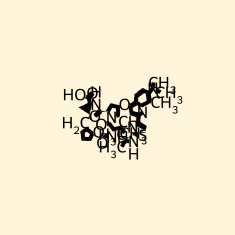 C=C[C@@H]1C[C@]1(NC(=O)[C@@H]1C[C@@H](Oc2cc(-c3csc(NC(C)C)n3)nc3c(C)c(N(C)C)ccc23)CN1C(=O)[C@@H](NC(=O)OC1CCCC1)C(=C)C)C(=O)O